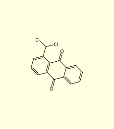 O=C1c2ccccc2C(=O)c2c1cccc2C(Cl)Cl